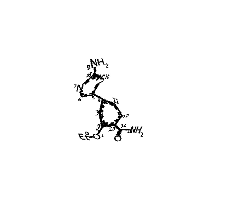 CCOc1cc(-c2cnc(N)s2)ccc1C(N)=O